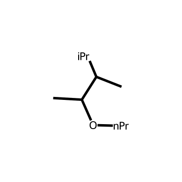 CCCOC(C)C(C)C(C)C